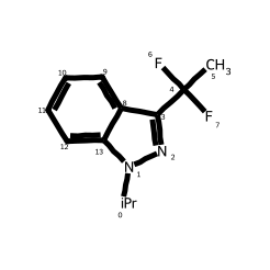 CC(C)n1nc(C(C)(F)F)c2ccccc21